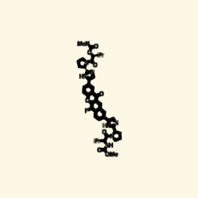 CNC(=O)O[C@H](C(=O)N1CCC[C@H]1c1ncc(-c2ccc3oc4c(F)c5ccc(-c6cnc(C7CCCN7C(=O)C(NC(=O)OC)C(C)C)[nH]6)cc5cc4c(=O)c3c2)[nH]1)C(C)C